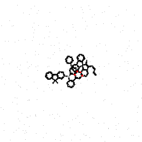 C=C/C=C\C1=C(C)C2(c3ccccc3-c3ccccc32)c2c1cccc2-c1cc(-c2ccccc2)cc(N(c2ccc3c(c2)C(C)(C)c2ccccc2-3)c2ccccc2-c2ccccc2)c1